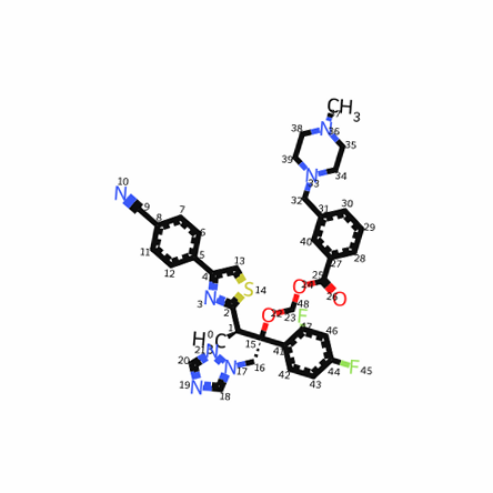 C[C@@H](c1nc(-c2ccc(C#N)cc2)cs1)[C@@](Cn1cncn1)(OCOC(=O)c1cccc(CN2CCN(C)CC2)c1)c1ccc(F)cc1F